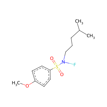 COc1ccc(S(=O)(=O)N(F)CCCC(C)C)cc1